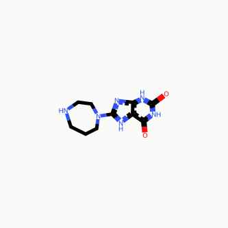 O=c1[nH]c(=O)c2[nH]c(N3CCCNCC3)nc2[nH]1